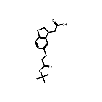 CC(C)(C)OC(=O)CSc1ccc2c(c1)C(CC(=O)O)CO2